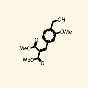 COC(=O)C(=Cc1ccc(CO)c(OC)c1)C(=O)OC